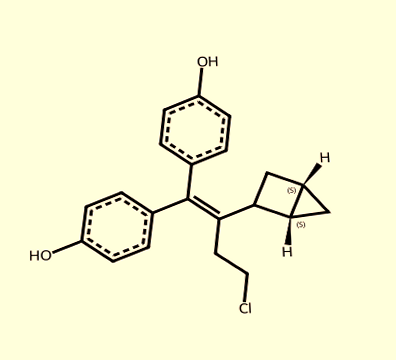 Oc1ccc(C(=C(CCCl)C2C[C@@H]3C[C@H]23)c2ccc(O)cc2)cc1